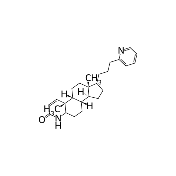 C[C@]12C=CC(=O)NC1CC[C@@H]1[C@H]2CC[C@]2(C)C(CCCc3ccccn3)CC[C@@H]12